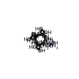 C=C(/C=C(O)\C=C(/C)O)[C@]1(C)c2ccc([nH]2)[C@](C)(c2cc(O)cc(O)c2)c2ccc([nH]2)[C@](C)(c2cc(O)cc(O)c2)c2ccc([nH]2)[C@](C)(c2cc(O)cc(O)c2)c2ccc1[nH]2